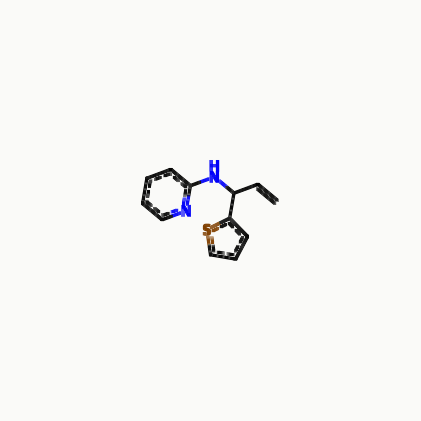 C=CC(Nc1ccccn1)c1cccs1